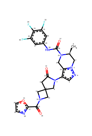 C[C@H]1Cn2ncc(N3CC4(CC3=O)CN(C(=O)c3ncco3)C4)c2CN1C(=O)Nc1cc(F)c(F)c(F)c1